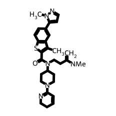 C=C(CCN(C(=O)c1sc2ccc(-c3ccnn3C)cc2c1C)C1CCN(C2=NCCC=C2)CC1)NC